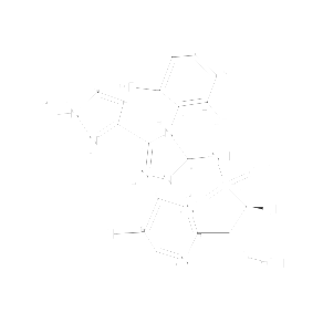 CO[C@H](c1ncc(Cl)cn1)[C@H](C)S(=O)(=O)Nc1nnc(-c2ccn(C)n2)n1-c1c(F)cccc1F